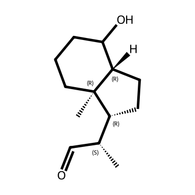 C[C@H](C=O)[C@H]1CC[C@H]2C(O)CCC[C@]12C